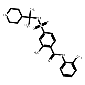 Cc1ccccc1NC(=O)c1ccc(S(=O)(=O)NC(C)(C)C2CCNCC2)cc1C